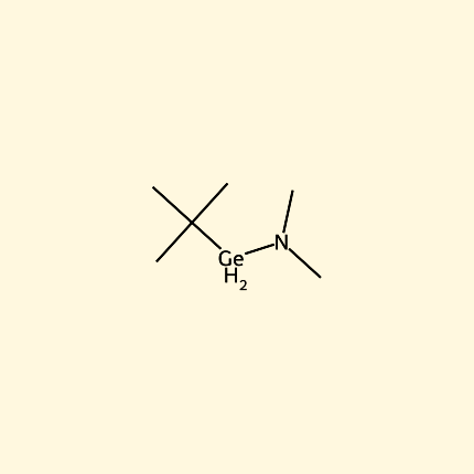 C[N](C)[GeH2][C](C)(C)C